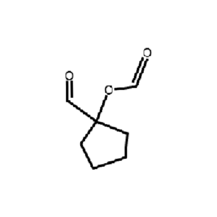 O=COC1(C=O)CCCC1